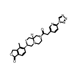 Cc1c([C@@H]2CN3CCN(C(=O)Cc4ccc(-n5cnnn5)nc4)C[C@H]3CS2)ccc2c1COC2=O